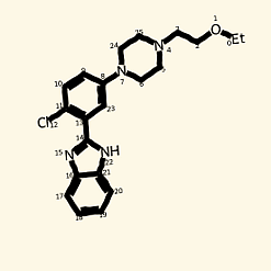 CCOCCN1CCN(c2ccc(Cl)c(-c3nc4ccccc4[nH]3)c2)CC1